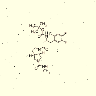 CNC(=O)N1C[C@@H]2CCN(C(=O)C[C@@H](Cc3cc(F)c(F)cc3F)NC(=O)OC(C)(C)C)[C@@H]2C1